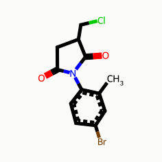 Cc1cc(Br)ccc1N1C(=O)CC(CCl)C1=O